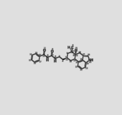 CN1C[C@H](CCNC(=O)NC(=O)c2ccccc2)CC2c3cccc4[nH]cc(c34)C[C@H]21